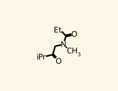 CCC(=O)N(C)CC(=O)C(C)C